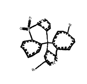 O=S1(=O)c2ccccc2C2(c3cc(Br)ccc3-c3ccc(Br)cc32)c2ccccc21